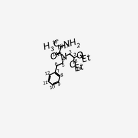 CCOC(CN(CCc1ccccc1)C(=O)[C@H](C)N)OCC